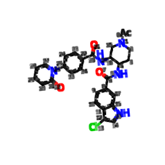 CC(=O)N1CC[C@@H](NC(=O)c2ccc3c(Cl)c[nH]c3c2)[C@@H](NC(=O)c2ccc(-n3ccccc3=O)cc2)C1